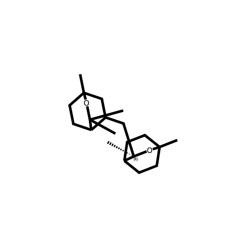 CC12CCC(C(C[C@@]3(C)OC4(C)CCC3CC4)C1)C(C)(C)O2